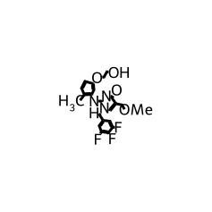 COCc1cn(Cc2cc(F)c(F)c(F)c2)c(Nc2cc(OCCO)ccc2C)nc1=O